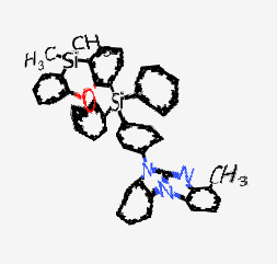 Cc1cccc2c1nc1n(-c3ccc([Si](c4ccccc4)(c4ccccc4)c4cccc5c4Oc4ccccc4[Si]5(C)C)cc3)c3ccccc3n21